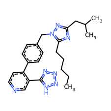 CCCCCc1nc(CC(C)C)nn1Cc1ccc(-c2ccncc2-c2nnn[nH]2)cc1